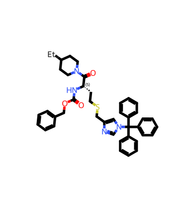 CCC1CCN(C(=O)[C@H](CCSCc2cn(C(c3ccccc3)(c3ccccc3)c3ccccc3)cn2)NC(=O)OCc2ccccc2)CC1